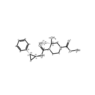 CC(C)(C)OC(=O)N1CCN(C(=O)N[C@H]2C[C@@H]2c2ccccc2)[C@](C)(C(=O)O)C1